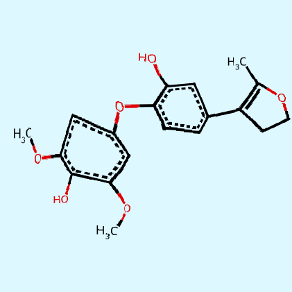 COc1cc(Oc2ccc(C3=C(C)OCC3)cc2O)cc(OC)c1O